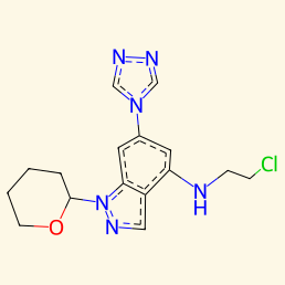 ClCCNc1cc(-n2cnnc2)cc2c1cnn2C1CCCCO1